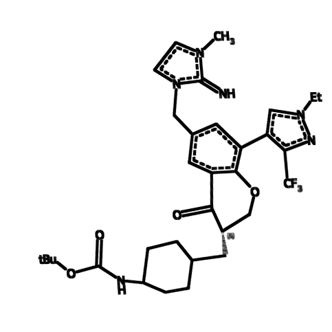 CCn1cc(-c2cc(Cn3ccn(C)c3=N)cc3c2OC[C@H](CC2CCC(NC(=O)OC(C)(C)C)CC2)C3=O)c(C(F)(F)F)n1